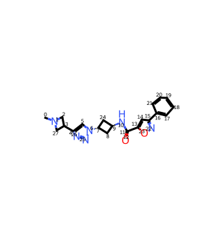 CN1CC(c2cn([C@H]3C[C@H](NC(=O)c4cc(-c5ccccc5)no4)C3)nn2)C1